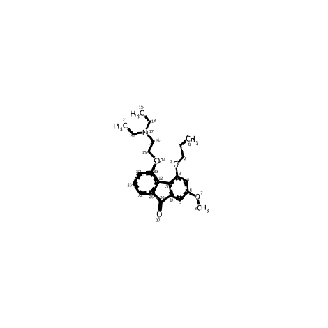 CCCOc1cc(OC)cc2c1-c1c(OCCN(CC)CC)cccc1C2=O